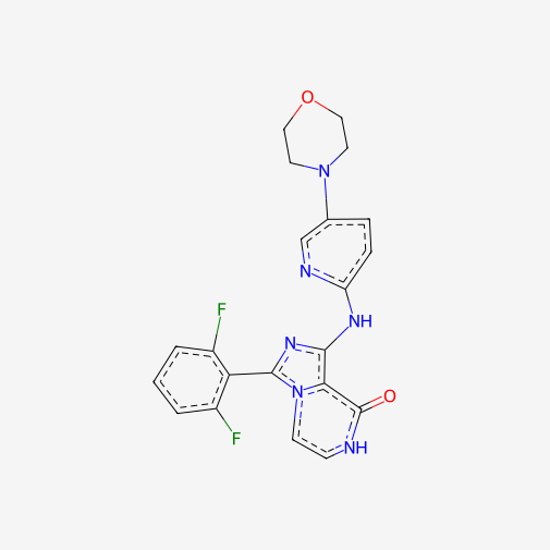 O=c1[nH]ccn2c(-c3c(F)cccc3F)nc(Nc3ccc(N4CCOCC4)cn3)c12